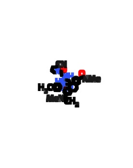 C=C(NC)c1ccc2c(c1)CCc1cc(C(=O)NC)ccc1C2(CCNCC(=O)N1CCCC1C#N)C(=N)Nc1ccc(C)cc1